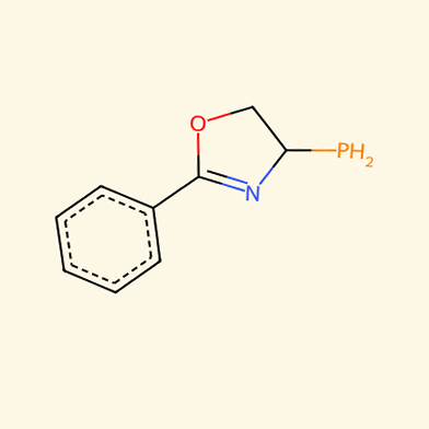 PC1COC(c2ccccc2)=N1